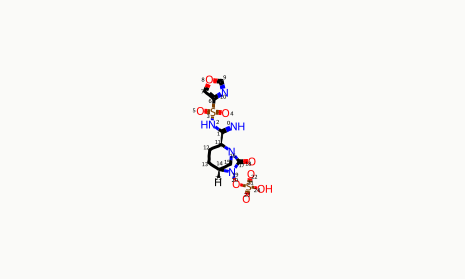 N=C(NS(=O)(=O)c1cocn1)[C@@H]1CC[C@@H]2CN1C(=O)N2OS(=O)(=O)O